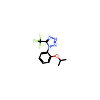 CC(C)Oc1ccccc1-n1nnnc1C(F)(F)F